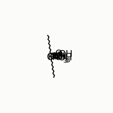 CCCCCCCCCCOCCCCCCCCCC.N.N.N.O=P(O)(O)O